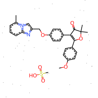 COc1ccc(C2=C(c3ccc(OCc4cn5c(C)cccc5n4)cc3)C(=O)C(C)(C)O2)cc1.CS(=O)(=O)O